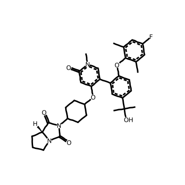 Cc1cc(F)cc(C)c1Oc1ccc(C(C)(C)O)cc1-c1cn(C)c(=O)cc1OC1CCC(N2C(=O)[C@H]3CCCN3C2=O)CC1